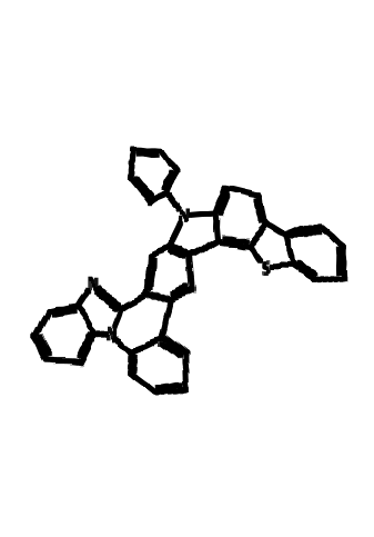 c1ccc(-n2c3cc4c(cc3c3c5sc6ccccc6c5ccc32)c2ccccc2n2c3ccccc3nc42)cc1